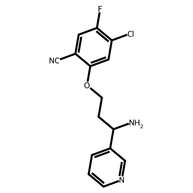 N#Cc1cc(F)c(Cl)cc1OCCC(N)c1cccnc1